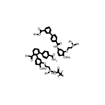 CCC(=O)c1cccc(-c2ccc(C(N)=O)cc2)c1-c1ccc(OC)c(OCCN(C(C)C)C(C)C)c1.COc1ccc(NC(=O)c2ccc(-c3cccc(C(=O)OC(C)C)c3)cc2)cc1OCCN(C(C)C)C(C)C.O=C(O)C(F)(F)F